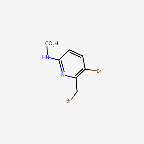 O=C(O)Nc1ccc(Br)c(CBr)n1